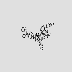 O=C(CCl)N1CCN(c2nc(N3CCOCC3)nc(-n3c(C(F)F)nc4c(O)cccc43)n2)CC1